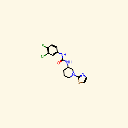 O=C(Nc1ccc(F)c(Cl)c1)NC1CCCN(c2nccs2)C1